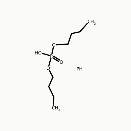 CCCCOP(=O)(O)OCCCC.P